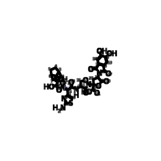 CC1(C)C2CCC1CC(O/N=C(\C(=O)N[C@H]1CON(C3(C(=O)O)CC(N4C(=O)c5cc(O)c(O)cc5C4=O)C(=O)O3)C1=O)c1csc(N)n1)(C(=O)O)C2